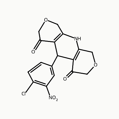 O=C1COCC2=C1C(c1ccc(Cl)c([N+](=O)[O-])c1)C1=C(COCC1=O)N2